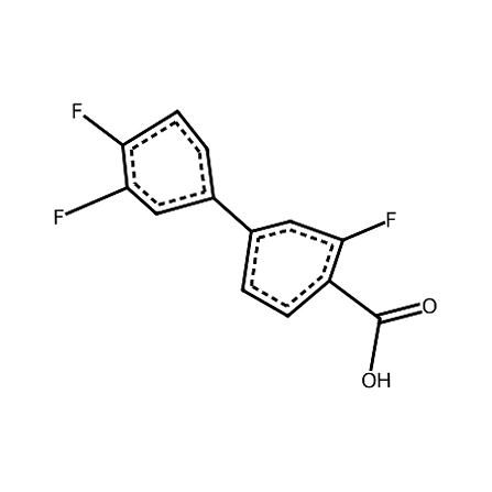 O=C(O)c1ccc(-c2ccc(F)c(F)c2)cc1F